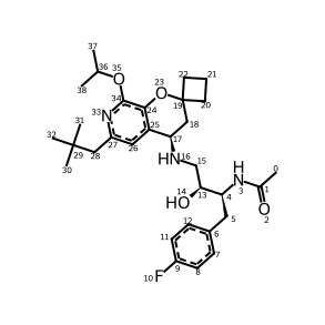 CC(=O)N[C@@H](Cc1ccc(F)cc1)[C@@H](O)CN[C@@H]1CC2(CCC2)Oc2c1cc(CC(C)(C)C)nc2OC(C)C